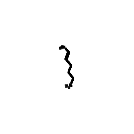 CCC/C=C/CCCN